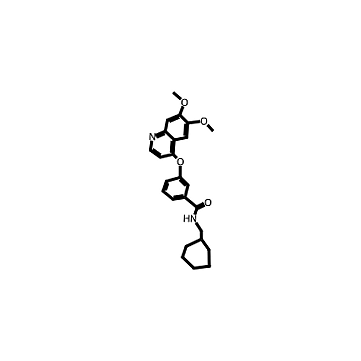 COc1cc2nccc(Oc3cccc(C(=O)NCC4CCCCC4)c3)c2cc1OC